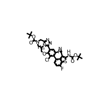 CC(C)(C)OC(=O)Nc1sc2c(F)ccc(-c3c(F)cc4c(c3Cl)OC[C@@H]3CN(C(=O)OC(C)(C)C)Cc5nnc-4n53)c2c1C#N